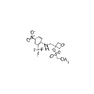 CCS(=O)(=O)OC1(CNc2ccc([N+](=O)[O-])cc2C(F)(F)F)COC1